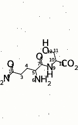 NC(=O)CCC(N)C(=O)NC(CO)C(=O)O